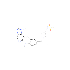 CCc1cc(C(C#N)N2CC(NS(C)(=O)=O)C2)ccc1N(C)c1cc2c(cn1)ncn2C